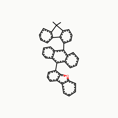 CC1(C)c2ccccc2-c2c(-c3c4ccccc4c(-c4cccc5c4oc4ccccc45)c4ccccc34)cccc21